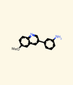 COc1ccc2ncc(-c3cccc(N)c3)cc2c1